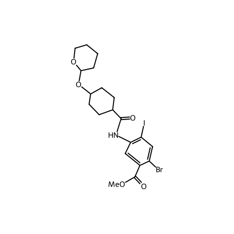 COC(=O)c1cc(NC(=O)C2CCC(OC3CCCCO3)CC2)c(I)cc1Br